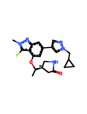 CC(Oc1cc(-c2cnn(CC3CC3)c2)cc2nn(C)c(F)c12)[C@H]1CNC(=O)C1